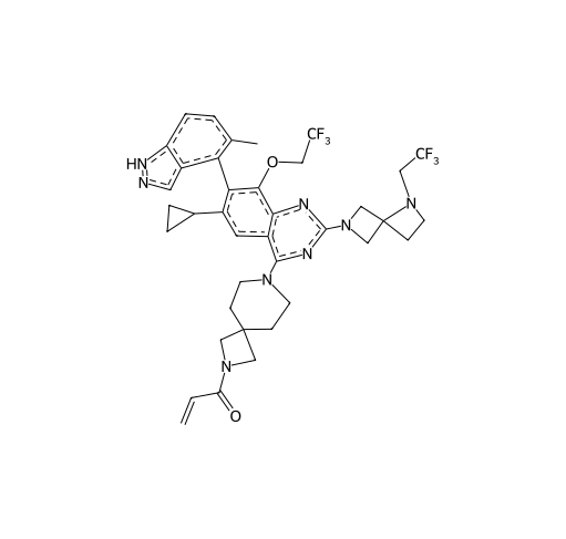 C=CC(=O)N1CC2(CCN(c3nc(N4CC5(CCN5CC(F)(F)F)C4)nc4c(OCC(F)(F)F)c(-c5c(C)ccc6[nH]ncc56)c(C5CC5)cc34)CC2)C1